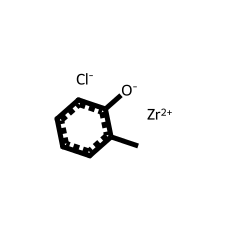 Cc1ccccc1[O-].[Cl-].[Zr+2]